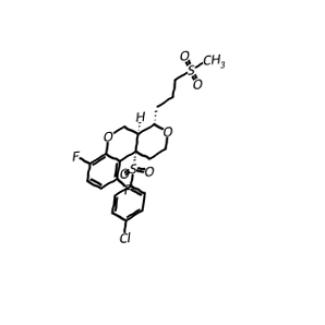 CS(=O)(=O)CCC[C@@H]1OCC[C@@]2(S(=O)(=O)c3ccc(Cl)cc3)c3c(F)ccc(F)c3OC[C@@H]12